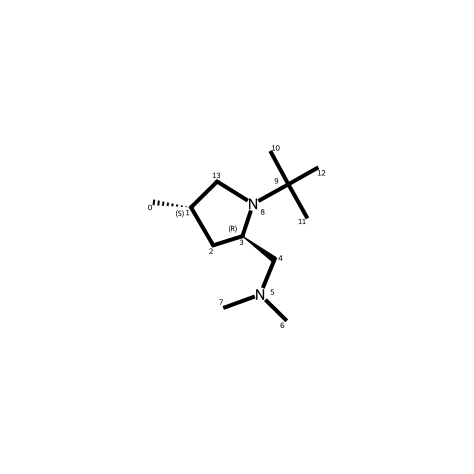 C[C@H]1C[C@H](CN(C)C)N(C(C)(C)C)C1